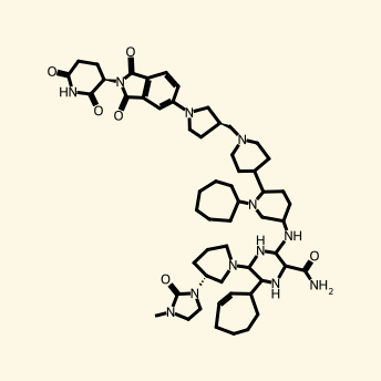 CN1CCN([C@@H]2CCCN(C3NC(NC4CCC(C5CCN(C[C@H]6CCN(c7ccc8c(c7)C(=O)N([C@@H]7CCC(=O)NC7=O)C8=O)C6)CC5)N(C5CCCCCC5)C4)C(C(N)=O)NC3C3C=CCCCC3)C2)C1=O